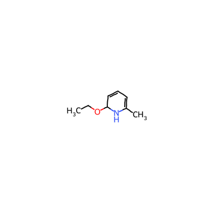 CCOC1C=CC=C(C)N1